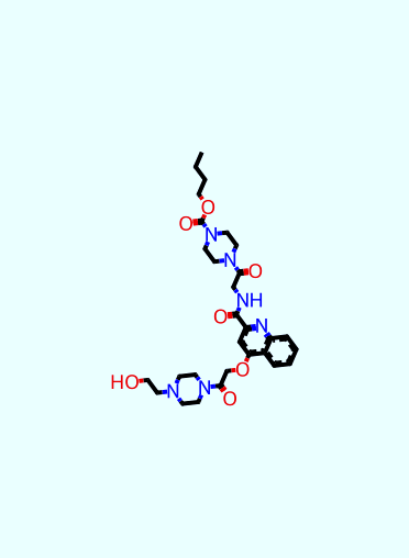 CCCCOC(=O)N1CCN(C(=O)CNC(=O)c2cc(OCC(=O)N3CCN(CCO)CC3)c3ccccc3n2)CC1